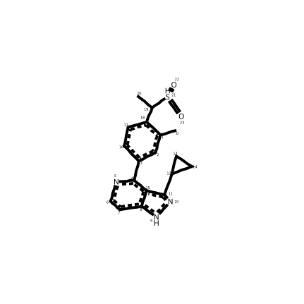 Cc1cc(-c2nccc3[nH]nc(C4CC4)c23)ccc1C(C)[SH](=O)=O